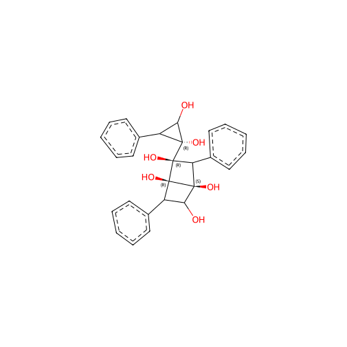 OC1C(c2ccccc2)[C@@]2(O)[C@]1(O)C(c1ccccc1)[C@@]2(O)[C@]1(O)C(O)C1c1ccccc1